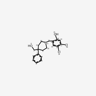 OCC1(c2ccccc2)CCN(Cc2cc(Cl)c(Cl)cc2O)CC1